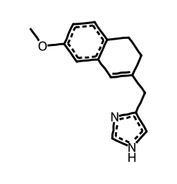 COc1ccc2c(c1)C=C(Cc1c[nH]cn1)CC2